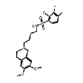 COc1cc2c(cc1OC)CN(CCCCNS(=O)(=O)c1ccc(F)c(F)c1F)CC2